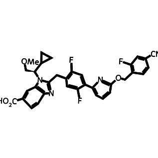 COC[C@@H](C1CC1)n1c(Cc2cc(F)c(-c3cccc(OCc4ccc(C#N)cc4F)n3)cc2F)nc2ccc(C(=O)O)cc21